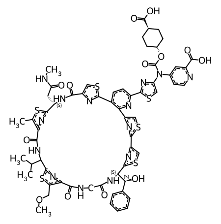 CNC(=O)C[C@@H]1NC(=O)c2csc(n2)-c2ccc(-c3nc(N(C(=O)O[C@H]4CC[C@H](C(=O)O)CC4)c4ccnc(C(=O)O)c4)cs3)nc2-c2csc(n2)-c2csc(n2)[C@H]([C@@H](O)c2ccccc2)NC(=O)CNC(=O)c2nc(sc2COC)C(C(C)C)NC(=O)c2nc1sc2C